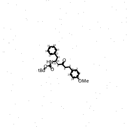 COc1ccc(CCC(=O)C[C@H](Cc2ccccc2)NC(=O)OC(C)(C)C)cc1